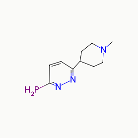 CN1CCC(c2ccc(P)nn2)CC1